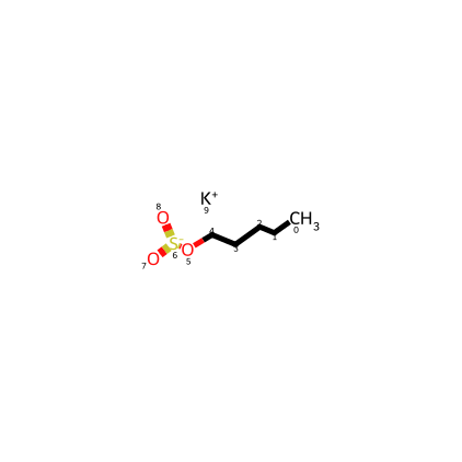 CCCCCO[S-](=O)=O.[K+]